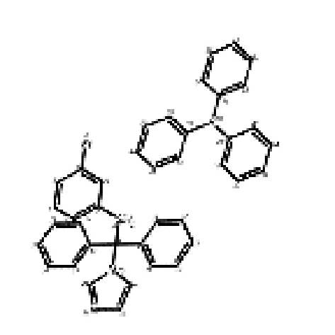 CCc1cccc([SiH2]C(c2ccccc2)(c2ccccc2)n2ccnc2)c1.c1ccc(B(c2ccccc2)c2ccccc2)cc1